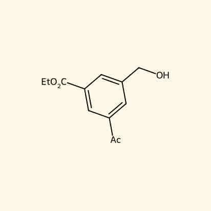 CCOC(=O)c1cc(CO)cc(C(C)=O)c1